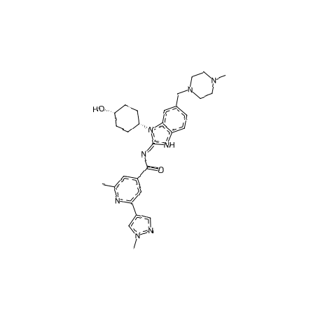 Cc1cc(C(=O)/N=c2\[nH]c3ccc(CN4CCN(C)CC4)cc3n2[C@H]2CC[C@@H](O)CC2)cc(-c2cnn(C)c2)n1